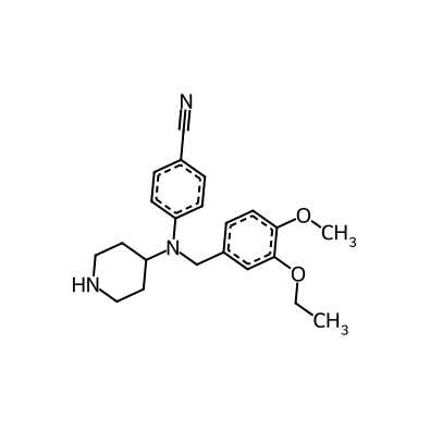 CCOc1cc(CN(c2ccc(C#N)cc2)C2CCNCC2)ccc1OC